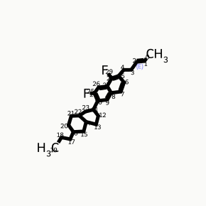 C/C=C/CCc1ccc2cc(C3CCC4CC(CCC)CCC4C3)c(F)cc2c1F